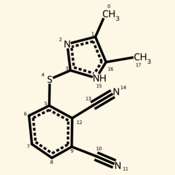 Cc1nc(Sc2cccc(C#N)c2C#N)[nH]c1C